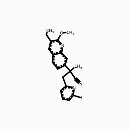 CCc1cc2ccc(C(C)(C#N)Cc3cccc(I)n3)cc2nc1OC